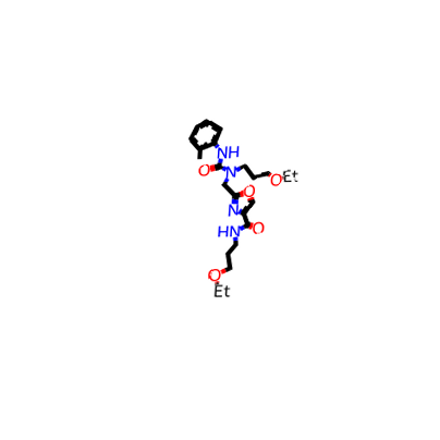 CCOCCCNC(=O)c1coc(CN(CCCOCC)C(=O)Nc2ccccc2C)n1